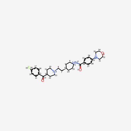 O=C(N[C@H]1CC[C@H](CCN2CCC(C(=O)c3ccc(F)cc3)CC2)CC1)c1ccc(N2CCOCC2)cc1